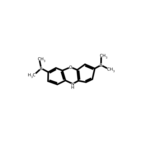 CB(C)c1ccc2c(c1)Oc1cc(B(C)C)ccc1N2